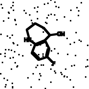 OC1CCCNc2ccc(F)cc21